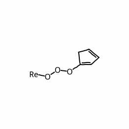 [Re][O]OOC1=CC=CC1